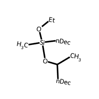 CCCCCCCCCCC(C)O[Si](C)(CCCCCCCCCC)OCC